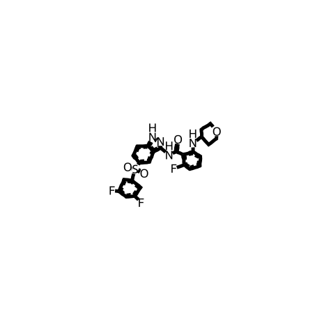 O=C(Nc1n[nH]c2ccc(S(=O)(=O)c3cc(F)cc(F)c3)cc12)c1c(F)cccc1NC1CCOCC1